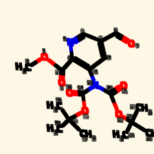 COC(=O)c1ncc(C=O)cc1N(C(=O)OC(C)(C)C)C(=O)OC(C)(C)C